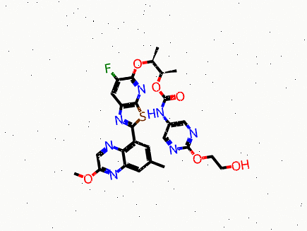 COc1cnc2c(-c3nc4cc(F)c(O[C@@H](C)[C@@H](C)OC(=O)Nc5cnc(OCCO)nc5)nc4s3)cc(C)cc2n1